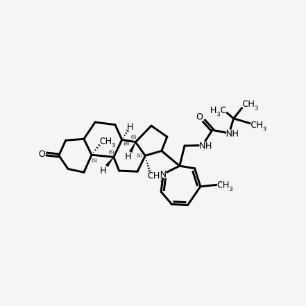 CC1=CC(CNC(=O)NC(C)(C)C)(C2CC[C@H]3[C@@H]4CCC5CC(=O)CC[C@]5(C)[C@H]4CC[C@]23C)N=CC=C1